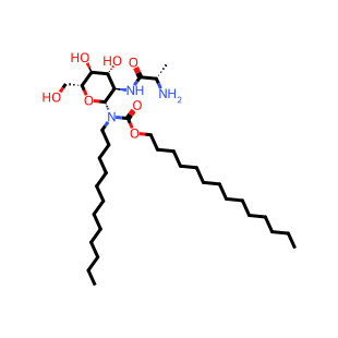 CCCCCCCCCCCCCCOC(=O)N(CCCCCCCCCCCC)[C@@H]1O[C@H](CO)[C@@H](O)[C@H](O)[C@H]1NC(=O)[C@H](C)N